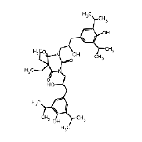 CCC1(CC)C(=O)N(CC(O)Cc2cc(C(C)C)c(O)c(C(C)C)c2)C(=O)N(CC(O)Cc2cc(C(C)C)c(O)c(C(C)C)c2)C1=O